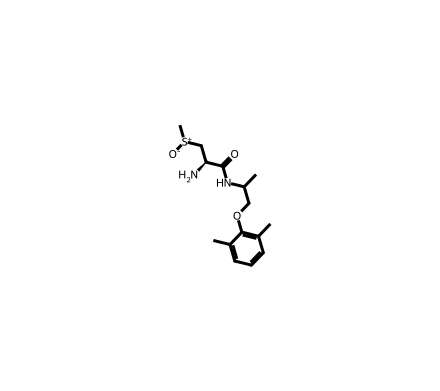 Cc1cccc(C)c1OCC(C)NC(=O)[C@@H](N)C[S+](C)[O-]